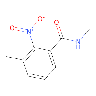 CNC(=O)c1cccc(C)c1[N+](=O)[O-]